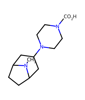 CN1C2CCC1CC(N1CCN(C(=O)O)CC1)C2